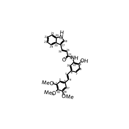 COc1cc(/C=C/c2ccc(O)c(NC(=O)/C=C/c3c[nH]c4ccccc34)c2)cc(OC)c1OC